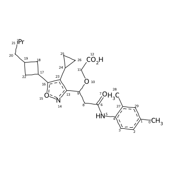 Cc1ccc(NC(=O)CC(OCC(=O)O)c2noc(C3CC(CC(C)C)C3)c2C2CC2)c(C)c1